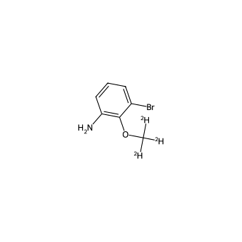 [2H]C([2H])([2H])Oc1c(N)cccc1Br